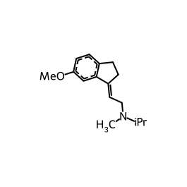 COc1ccc2c(c1)/C(=C/CN(C)C(C)C)CC2